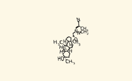 C=NN(/C=C(\C)C#N)CC(=O)[C@H]1CC[C@H]2[C@@H]3[C@H](C)C[C@H]4C[C@](C)(O)CC[C@]4(C)[C@H]3CC[C@]12C